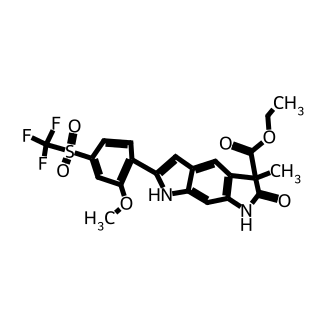 CCOC(=O)C1(C)C(=O)Nc2cc3[nH]c(-c4ccc(S(=O)(=O)C(F)(F)F)cc4OC)cc3cc21